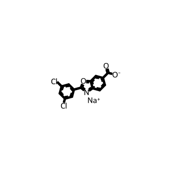 O=C([O-])c1ccc2nc(-c3cc(Cl)cc(Cl)c3)oc2c1.[Na+]